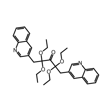 CCOC(Cc1cnc2ccccc2c1)(OCC)C(=O)C(Cc1cnc2ccccc2c1)(OCC)OCC